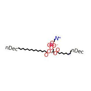 CCCCCCCCCCC/C=C\CCCCC(=O)O[C@H](COC(=O)CCCCCCCCCCCCCCCCCCCCCCC)COP(=O)([O-])OCC[N+](C)(C)C